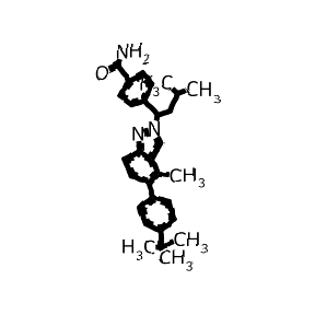 Cc1c(-c2ccc(C(C)(C)C)cc2)ccc2nn(C(CC(C)C)c3ccc(C(N)=O)cc3)cc12